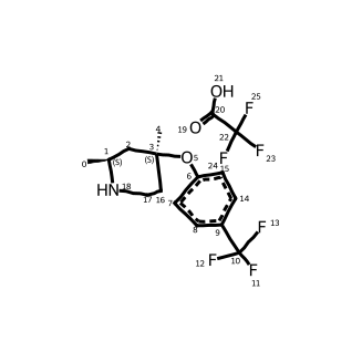 C[C@H]1C[C@@](C)(Oc2ccc(C(F)(F)F)cc2)CCN1.O=C(O)C(F)(F)F